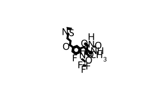 C[C@@H]1O[C@H](C(F)(F)F)CN2c3c(F)cc(C(=O)CCc4nccs4)cc3CC3(C(=O)NC(=O)NC3=O)[C@@H]12